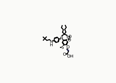 CCCCC1(CCCC)CN(c2ccc(NCCC(C)(C)C)cc2)c2cc(SC)c(O/C=C/C(=O)O)cc2S(=O)(=O)C1